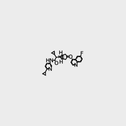 O=C(Nc1ccc(C2CC2)nc1)C(C1CC1)[C@H]1[C@@H]2C[C@@H](Oc3ccnc4ccc(F)cc34)C[C@@H]21